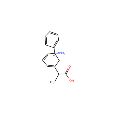 CC(C(=O)O)C1=CC=C[C@](N)(c2ccccc2)C1